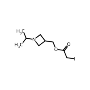 CC(C)N1CC(COC(=O)CI)C1